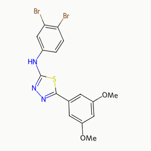 COc1cc(OC)cc(-c2nnc(Nc3ccc(Br)c(Br)c3)s2)c1